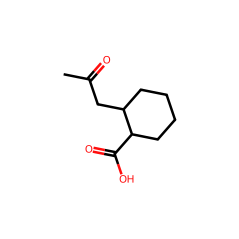 CC(=O)CC1CCCCC1C(=O)O